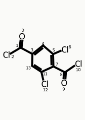 O=C(Cl)c1cc(Cl)c(C(=O)Cl)c(Cl)c1